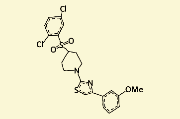 COc1cccc(-c2csc(N3CCC(S(=O)(=O)c4cc(Cl)ccc4Cl)CC3)n2)c1